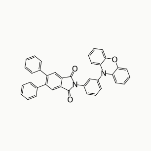 O=C1c2cc(-c3ccccc3)c(-c3ccccc3)cc2C(=O)N1c1cccc(N2c3ccccc3Oc3ccccc32)c1